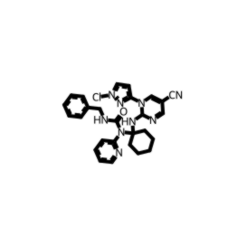 N#CC1=CN(c2ccn(Cl)n2)C(NC2(N(C(=O)NCc3ccccc3)c3ccccn3)CCCCC2)N=C1